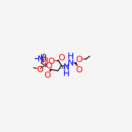 CCOC(=O)NN[C@@H](CC(=O)O[SiH](OC)N(C)C)C(=O)O